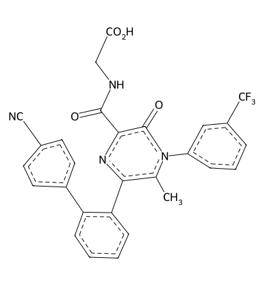 Cc1c(-c2ccccc2-c2ccc(C#N)cc2)nc(C(=O)NCC(=O)O)c(=O)n1-c1cccc(C(F)(F)F)c1